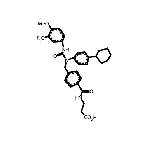 COc1ccc(NC(=O)N(Cc2ccc(C(=O)NCCC(=O)O)cc2)c2ccc(C3CCCCC3)cc2)cc1C(F)(F)F